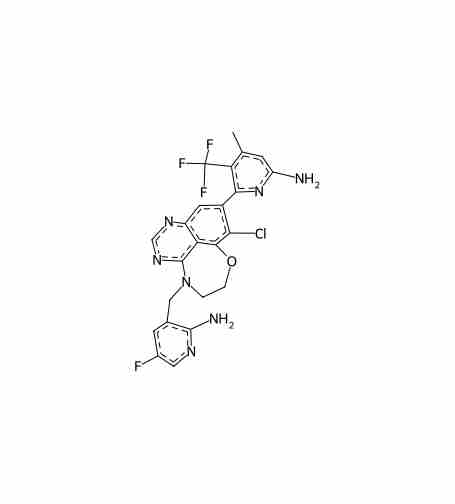 Cc1cc(N)nc(-c2cc3ncnc4c3c(c2Cl)OCCN4Cc2cc(F)cnc2N)c1C(F)(F)F